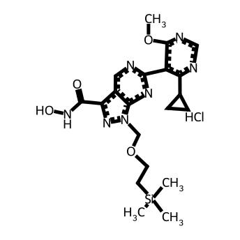 COc1ncnc(C2CC2)c1-c1ncc2c(C(=O)NO)nn(COCC[Si](C)(C)C)c2n1.Cl